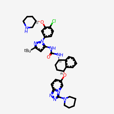 CC(C)(C)c1cc(NC(=O)N[C@H]2CC[C@@H](Oc3ccc4nnc(N5CCCCC5)n4c3)c3ccccc32)n(-c2ccc(Cl)c(O[C@H]3CCCNC3)c2)n1